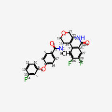 CN(C(=O)c1ccc(Oc2cccc(F)c2)cc1)[C@@H]1COCc2[nH]c(=O)c3cc(F)c(F)cc3c21